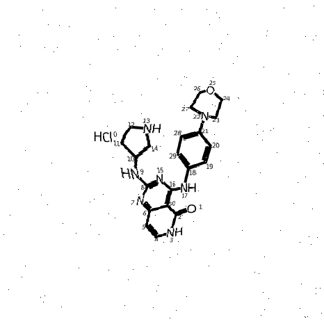 Cl.O=c1[nH]ccc2nc(NC3CCNC3)nc(Nc3ccc(N4CCOCC4)cc3)c12